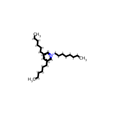 CCCCCCCC[n+]1cc(CCCCCC)cc(CCCCCC)c1